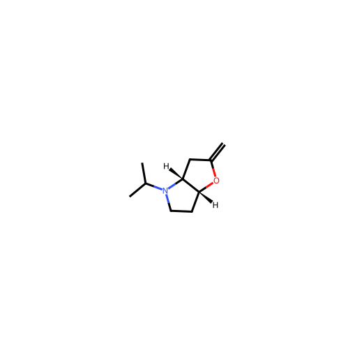 C=C1C[C@@H]2[C@@H](CCN2C(C)C)O1